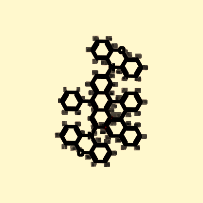 c1ccc(-c2c3cc(N4c5ccccc5Oc5ccccc54)ccc3c(-c3ccccc3-c3cccc4ccccc34)c3cc(N4c5ccccc5Oc5ccccc54)ccc23)cc1